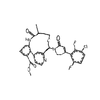 COC(=O)c1cccc2c1-c1ccnc(c1)C(N1CCC(c3c(F)ccc(Cl)c3F)=CC1=O)CCCC(C)C(=O)N2